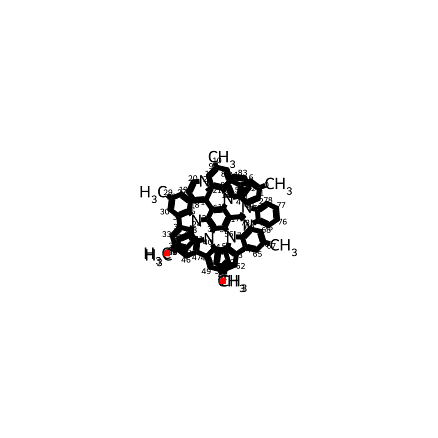 Cc1ccc2c(c1)c1cc(C)ccc1n2-c1c(-c2cccnc2)c(-n2c3ccc(C)cc3c3cc(C)ccc32)c(-n2c3ccc(C)cc3c3cc(C)ccc32)c(-n2c3ccc(C)cc3c3cc(C)ccc32)c1-c1nc2ccccc2n1-c1ccccc1